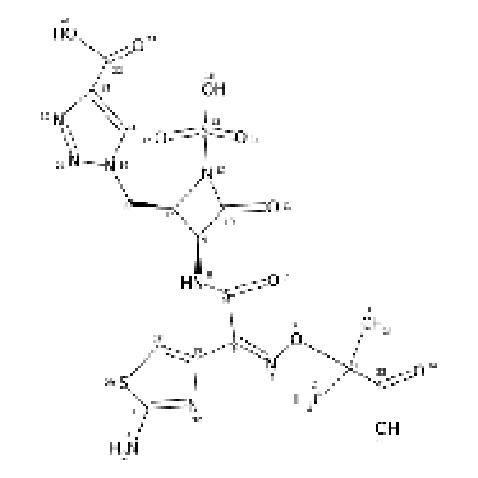 CC(C)(O/N=C(\C(=O)N[C@@H]1C(=O)N(S(=O)(=O)O)[C@@H]1Cn1cc(C(=O)O)nn1)c1csc(N)n1)C(=O)O